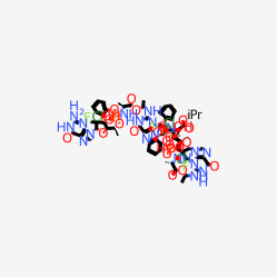 CC(C)OC(=O)[C@H](C)NP(=O)(Oc1ccccc1)O[C@@H](C)[C@H]1O[C@@H](n2cnc3c(=O)[nH]c(NC(C)OC(=O)[C@H](C)N[P@@](=O)(Oc4ccccc4)O[C@@H](C)[C@H]4O[C@@H](n5cnc6c(=O)[nH]c(NC(C)OC(=O)[C@H](C)N[P@](=O)(Oc7ccccc7)O[C@@H](C)[C@H]7O[C@@H](n8cnc9c(=O)[nH]c(N)nc98)[C@@](Cl)(CF)C7O)nc65)[C@@](Cl)(CF)C4O)nc32)[C@@](Cl)(CF)C1O